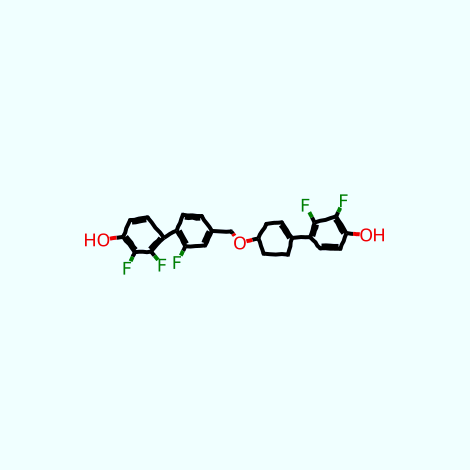 Oc1ccc(C2=CCC(OCc3ccc(-c4ccc(O)c(F)c4F)c(F)c3)CC2)c(F)c1F